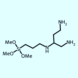 CO[Si](CCCNC(CN)CCN)(OC)OC